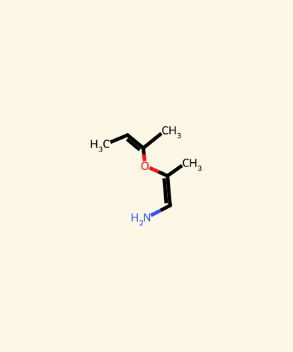 C/C=C(/C)O/C(C)=C\N